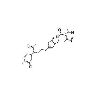 CC(=O)N(CCCN1CC2=CN(C(=O)c3c(C)ncnc3C)CC2C1)c1ccc(C)c(Cl)c1